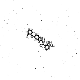 COc1ccnc(C(=O)Nc2nc3ccc(Oc4ccccc4C)cc3s2)c1O